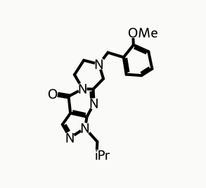 COc1ccccc1CN1CCn2c(nc3c(cnn3CC(C)C)c2=O)C1